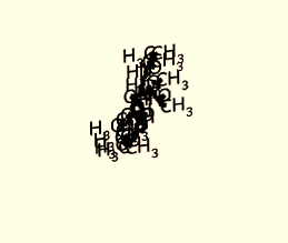 CCC(=O)N[C@H](CC(C)C)C(=O)N[C@H](CCCCNC(=O)OC(C)(C)C)C(=O)N1CCC(NC(=O)OC(C)(C)C)(C(=O)N2CCC(B3OC(C)(C)C(C)(C)O3)C2)CC1